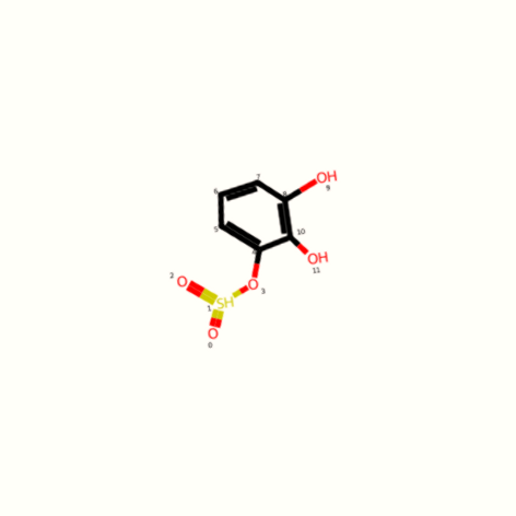 O=[SH](=O)Oc1cccc(O)c1O